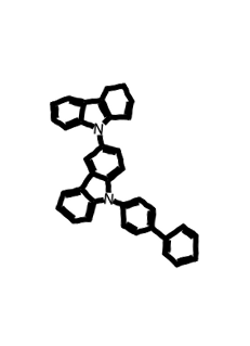 C1=Cc2c(c3ccccc3n2-c2ccc3c(c2)c2ccccc2n3-c2ccc(-c3ccccc3)cc2)CC1